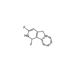 FC1=CC2=C(c3cccc[n+]3C2)C(F)N1